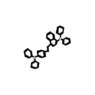 C(=C\c1ccc(N(c2ccccc2)c2ccccc2)c2ccccc12)/c1ccc(N(c2ccccc2)c2ccccc2)cc1